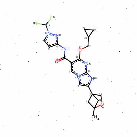 CC12CC(c3cn4cc(C(=O)Nc5ccn(C(F)F)n5)c(OCC5CC5)nc4n3)(CO1)C2